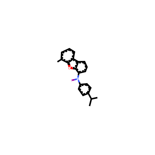 Cc1cccc2c1oc1c(N(I)c3ccc(C(C)C)cc3)cccc12